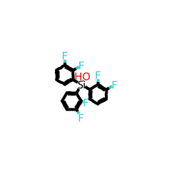 O[Si](c1cccc(F)c1F)(c1cccc(F)c1F)c1cccc(F)c1F